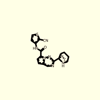 N#Cc1sccc1NC(=O)c1ccc2cnc(N3CC4CCC3CN4)nn12